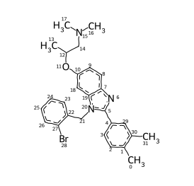 Cc1ccc(-c2nc3ccc(OC(C)CN(C)C)cc3n2Cc2ccccc2Br)cc1C